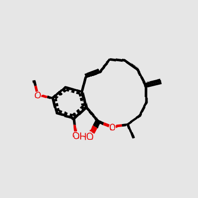 C=C1CCC/C=C/c2cc(OC)cc(O)c2C(=O)OC(C)CC1